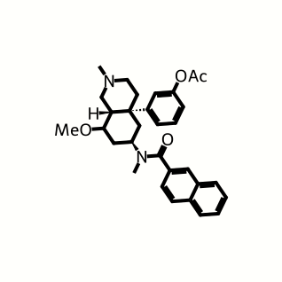 COC1C[C@H](N(C)C(=O)c2ccc3ccccc3c2)C[C@]2(c3cccc(OC(C)=O)c3)CCN(C)C[C@@H]12